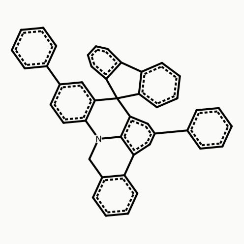 c1ccc(-c2ccc3c(c2)C2(c4ccccc4-c4ccccc42)c2cc(-c4ccccc4)cc4c2N3Cc2ccccc2-4)cc1